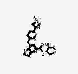 Cn1cc(-c2ccc(Cc3cc(C(=O)N[C@H]4CCOC[C@@H]4O)nc4ccoc34)cn2)nn1